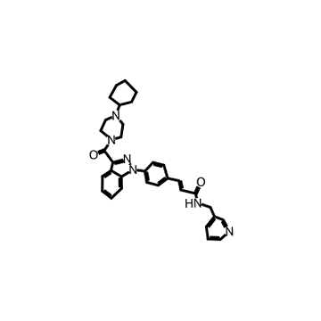 O=C(C=Cc1ccc(-n2nc(C(=O)N3CCN(C4CCCCC4)CC3)c3ccccc32)cc1)NCc1cccnc1